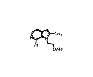 COCCn1c(C)cc2ccnc(Cl)c21